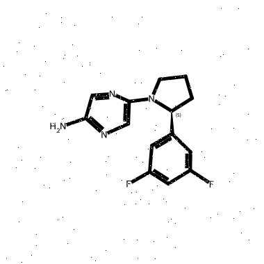 Nc1cnc(N2CCC[C@H]2c2cc(F)cc(F)c2)cn1